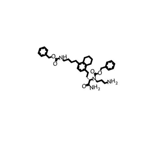 NCCCN(C(=O)OCc1ccccc1)[C@@H](CCc1ccc(CCCCNC(=O)OCc2ccccc2)c2c1CCCC2)C(N)=O